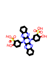 O=S(=O)(O)c1cc(N2c3nc4ccccc4nc3N(c3ccc(O)c(S(=O)(=O)O)c3)c3nc4ccccc4nc32)ccc1O